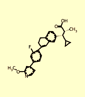 COc1cc(-c2ccc(C3=Cc4cc([C@@H](C5CC5)[C@@H](C)C(=O)O)ccc4CC3)c(F)c2)ccn1